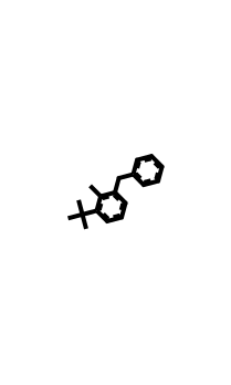 Cc1c(Cc2ccccc2)cccc1C(C)(C)C